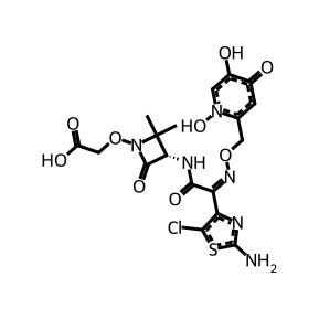 CC1(C)[C@H](NC(=O)/C(=N\OCc2cc(=O)c(O)cn2O)c2nc(N)sc2Cl)C(=O)N1OCC(=O)O